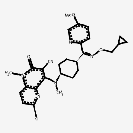 COc1ccc(/C(=N\OCC2CC2)[C@H]2CC[C@H](N(C)c3c(C#N)c(=O)n(C)c4ccc(Cl)nc34)CC2)nc1